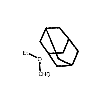 C1C2CC3CC1CC(C2)C3.CCOC=O